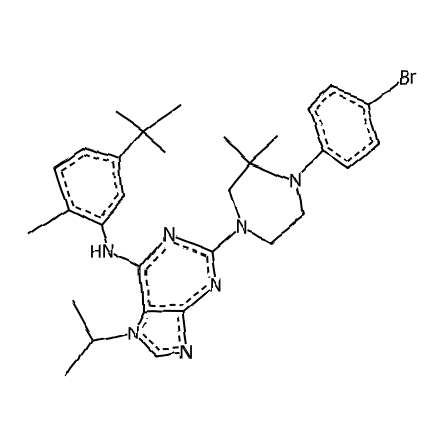 Cc1ccc(C(C)(C)C)cc1Nc1nc(N2CCN(c3ccc(Br)cc3)C(C)(C)C2)nc2ncn(C(C)C)c12